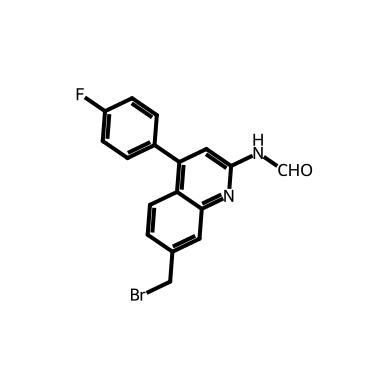 O=CNc1cc(-c2ccc(F)cc2)c2ccc(CBr)cc2n1